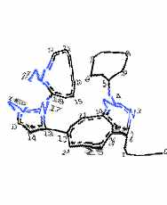 CCc1nn(C2CCCC2)c2cc(-c3ccnn3-c3ccccn3)ccc12